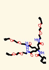 C#CCOCCOCCNC(=O)CCC(CCC(=O)NCCOCCOCC#C)(CCC(=O)NCCOCCOCC#C)NC(=O)c1ccc(O)cc1